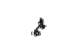 CCN1C(=O)C(C)(C)C(=O)N(C)c2cc(CCCN(CCn3ccc4oc(C)cc4c3=O)Cc3ccc(C)nc3C)ccc21